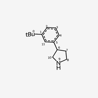 CC(C)(C)c1cccc(C2CCNC2)c1